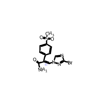 CS(=O)(=O)c1ccc(/C(=C\n2cnc(Br)n2)C(N)=O)cc1